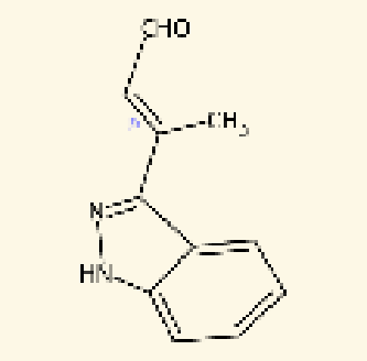 C/C(=C\C=O)c1n[nH]c2ccccc12